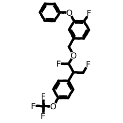 FCC(c1ccc(OC(F)(F)F)cc1)C(F)OCc1ccc(F)c(Oc2ccccc2)c1